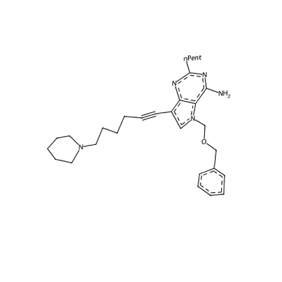 CCCCCc1nc(N)c2c(n1)c(C#CCCCCN1CCCCC1)cn2COCc1ccccc1